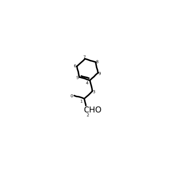 CC(C=O)CC1=CCCCC1